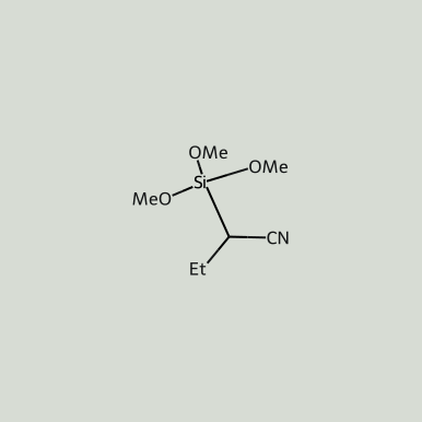 CCC(C#N)[Si](OC)(OC)OC